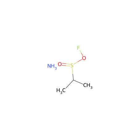 CC(C)S(=O)OF.N